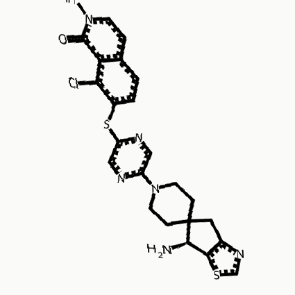 CC(C)n1ccc2ccc(Sc3cnc(N4CCC5(CC4)Cc4ncsc4[C@H]5N)cn3)c(Cl)c2c1=O